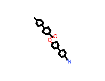 Cc1ccc(-c2ccc(C(=O)Oc3ccc(-c4ccc(C#N)cc4)cc3)cc2)cc1